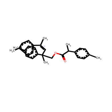 C/C(=C/C(C)(COC(=O)C(C)c1ccc(C)cc1)c1ccc(C)cc1)c1ccc(C)cc1